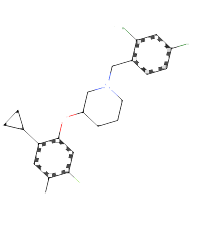 O=C(O)c1cc(C2CC2)c(OC2CCCN(Cc3ccc(Cl)cc3Cl)C2)cc1F